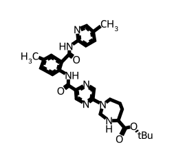 Cc1ccc(NC(=O)c2cc(C)ccc2NC(=O)c2cnc(N3CCCC(C(=O)OC(C)(C)C)NC3)cn2)nc1